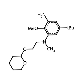 COc1c(N)cc(C(C)(C)C)cc1N(C)CCOC1CCCCO1